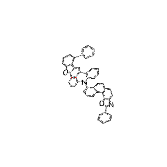 c1ccc(-c2nc3ccc4ccc5c(N(c6ccccc6)c6ccccc6-c6ccc7oc8cccc(-c9ccccc9)c8c7c6)cccc5c4c3o2)cc1